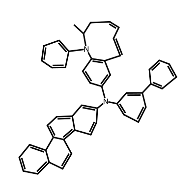 CC1C/C=C\C=C\c2cc(N(c3cccc(-c4ccccc4)c3)c3ccc4c(ccc5c6ccccc6ccc45)c3)ccc2N1c1ccccc1